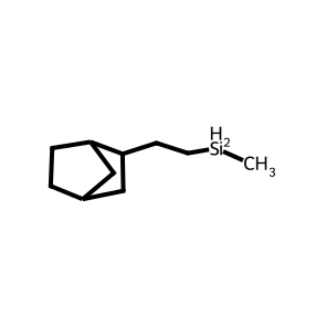 C[SiH2]CCC1CC2CCC1C2